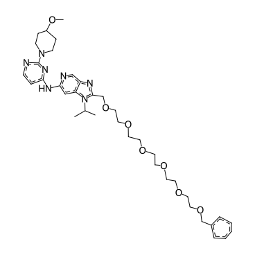 COC1CCN(c2nccc(Nc3cc4c(cn3)nc(COCCOCCOCCOCCOCCOCc3ccccc3)n4C(C)C)n2)CC1